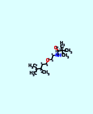 CC(C)C(C)CCOCCNC(=O)C(C)(C)C